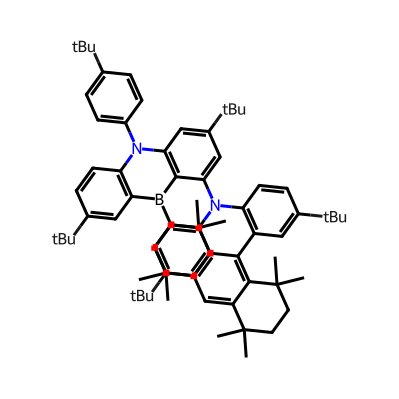 CC(C)(C)c1ccc(N2c3ccc(C(C)(C)C)cc3B3c4cc(C(C)(C)C)ccc4N(c4ccc(C(C)(C)C)cc4-c4c5c(cc6c4C(C)(C)CCC6(C)C)C(C)(C)CCC5(C)C)c4cc(C(C)(C)C)cc2c43)cc1